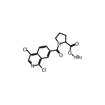 CCCCOC(=O)C1CCCN1C(=O)c1ccc2c(Cl)cnc(Cl)c2c1